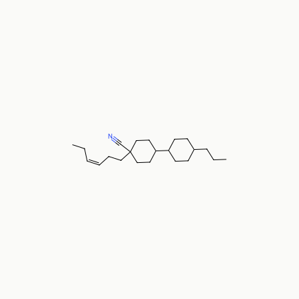 CC/C=C\CCC1(C#N)CCC(C2CCC(CCC)CC2)CC1